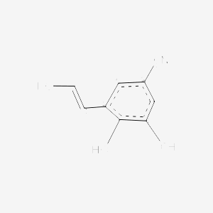 CC=Cc1cc(C#N)cc(C)c1O